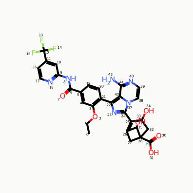 CCOc1cc(C(=O)Nc2cc(C(F)(F)F)ccn2)ccc1-c1nc(C2=C3CC(C(=O)O)(CC2O)C3O)n2ccnc(N)c12